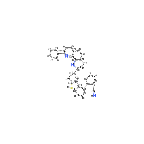 N#Cc1ccccc1-c1cccc2sc3ccc(-c4ccc5ccc6ccc(-c7ccccc7)nc6c5n4)cc3c12